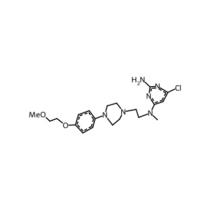 COCCOc1ccc(N2CCN(CCN(C)c3cc(Cl)nc(N)n3)CC2)cc1